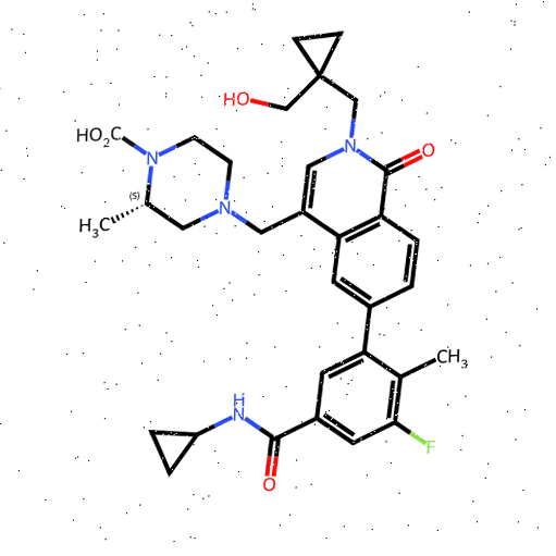 Cc1c(F)cc(C(=O)NC2CC2)cc1-c1ccc2c(=O)n(CC3(CO)CC3)cc(CN3CCN(C(=O)O)[C@@H](C)C3)c2c1